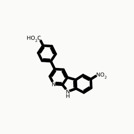 O=C(O)c1ccc(-c2cnc3[nH]c4ccc([N+](=O)[O-])cc4c3c2)cc1